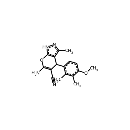 COc1ccc(C2C(C#N)=C(N)Oc3[nH]nc(C)c32)c(C)c1C